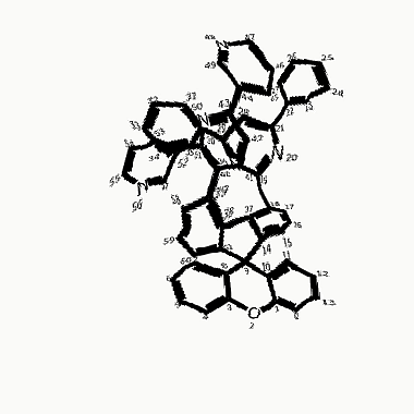 C1=C2Oc3ccccc3C3(C2=CCC1)c1cccc(-c2nc(-c4ccccc4)cc(-c4ccccc4)n2)c1-c1c(-c2ccc(-c4cccnc4)nc2-c2cccnc2)cccc13